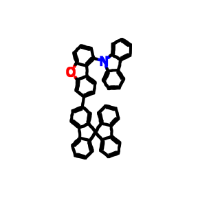 c1ccc2c(c1)-c1ccccc1C21c2ccccc2-c2ccc(-c3ccc4c(c3)oc3cccc(-n5c6ccccc6c6ccccc65)c34)cc21